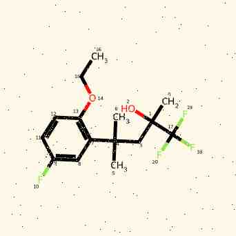 [CH2]C(O)(CC(C)(C)c1cc(F)ccc1OCC)C(F)(F)F